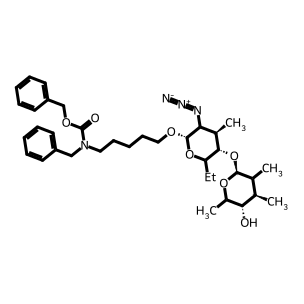 CCC1O[C@H](OCCCCCN(Cc2ccccc2)C(=O)OCc2ccccc2)C(N=[N+]=[N-])[C@@H](C)[C@@H]1O[C@@H]1OC(C)[C@@H](O)[C@H](C)C1C